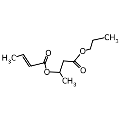 CC=CC(=O)OC(C)CC(=O)OCCC